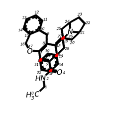 CCNC(=O)C1=CC2=C(Cc3ccccc3CO2)C(=C2CC3CCC(C2)N3CCc2ccccc2)C1